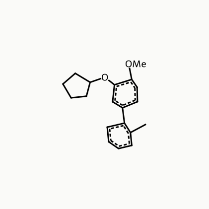 COc1ccc(-c2ccccc2C)cc1OC1CCCC1